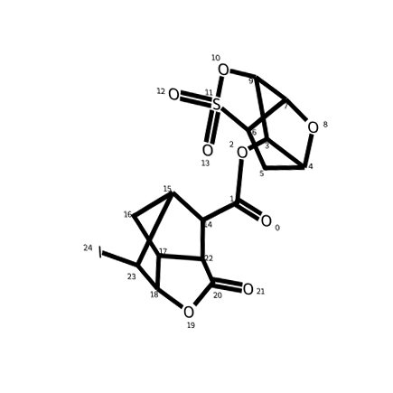 O=C(OC1C2CC3C(O2)C1OS3(=O)=O)C1C2CC3C(OC(=O)C31)C2I